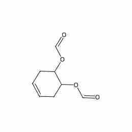 O=COC1CC=CCC1OC=O